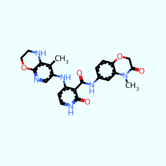 Cc1c(Nc2cc[nH]c(=O)c2C(=O)Nc2ccc3c(c2)N(C)C(=O)CO3)cnc2c1NCCO2